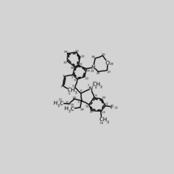 C/C=C\c1c(CC2N(C)c3cc(F)c(C)cc3C2(CC)CCC)cc(N2CCOCC2)c2ccccc12